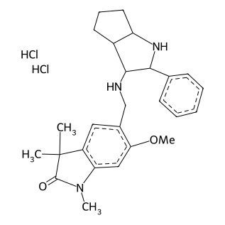 COc1cc2c(cc1CNC1C(c3ccccc3)NC3CCCC31)C(C)(C)C(=O)N2C.Cl.Cl